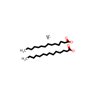 CCCCCCCCCCCCCC(=O)[O-].CCCCCCCCCCCCCC(=O)[O-].[H+].[K+]